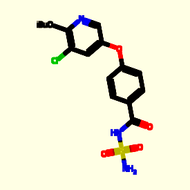 CC(C)COc1ncc(Oc2ccc(C(=O)NS(N)(=O)=O)cc2)cc1Cl